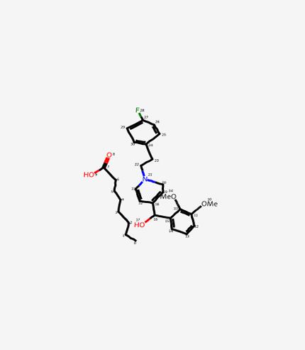 CCCCCCCC(=O)O.COc1cccc(C(O)C2=CCN(CCc3ccc(F)cc3)C=C2)c1OC